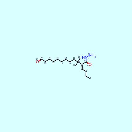 CCCC=C(C(=O)NN)C(C)(C)CCCCCCCCC=O